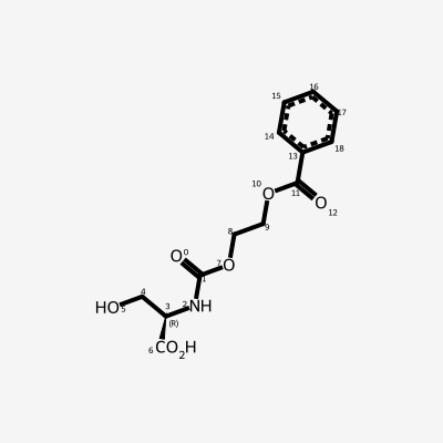 O=C(N[C@H](CO)C(=O)O)OCCOC(=O)c1ccccc1